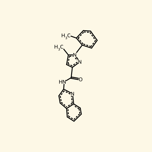 Cc1ccccc1-n1nc(C(=O)Nc2ccc3ccccc3n2)cc1C